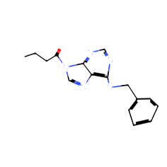 CCCC(=O)n1cnc2c(NCc3ccccc3)ncnc21